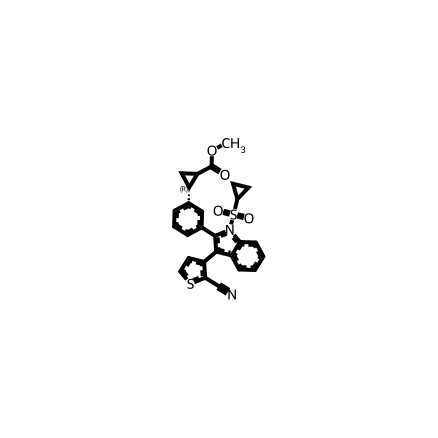 COC(=O)C1C[C@H]1c1cccc(-c2c(-c3ccsc3C#N)c3ccccc3n2S(=O)(=O)C2CC2)c1